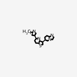 Cn1cc(-c2ccc3scc(-c4ccc5nccn5c4)c3n2)cn1